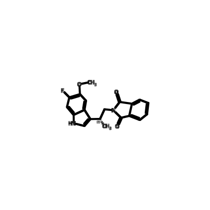 COc1cc2c([C@@H](C)CN3C(=O)c4ccccc4C3=O)c[nH]c2cc1F